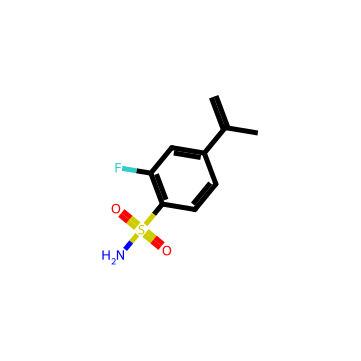 C=C(C)c1ccc(S(N)(=O)=O)c(F)c1